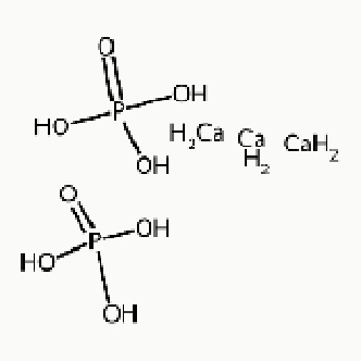 O=P(O)(O)O.O=P(O)(O)O.[CaH2].[CaH2].[CaH2]